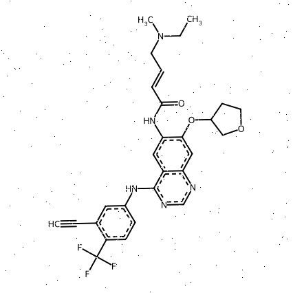 C#Cc1cc(Nc2ncnc3cc(OC4CCOC4)c(NC(=O)C=CCN(C)CC)cc23)ccc1C(F)(F)F